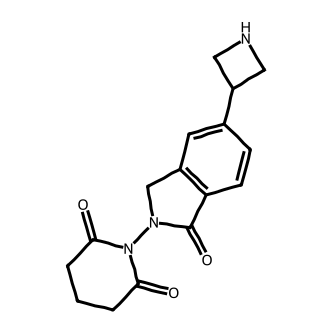 O=C1c2ccc(C3CNC3)cc2CN1N1C(=O)CCCC1=O